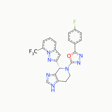 Fc1ccc(-c2nnc(N3CCc4[nH]cnc4[C@@H]3c3cc4cccc(C(F)(F)F)n4n3)o2)cc1